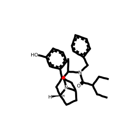 CCC(CC)C(=O)N(Cc1ccccc1)C(C)CN1C2CC[C@@H]1CC(c1cccc(O)c1)C2